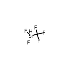 F[SiH](F)C(F)(F)F